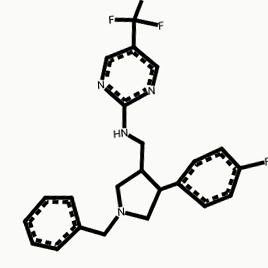 Fc1ccc(C2CN(Cc3ccccc3)CC2CNc2ncc(C(F)(F)F)cn2)cc1